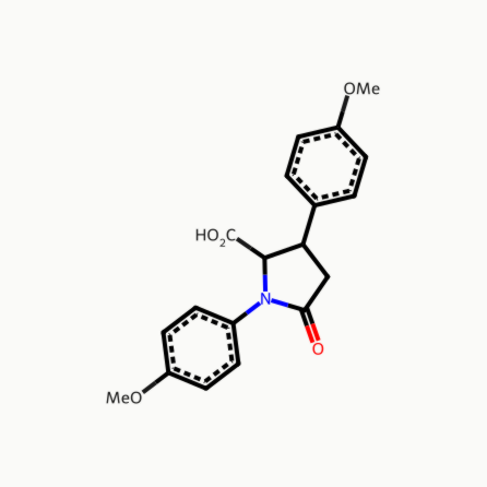 COc1ccc(C2CC(=O)N(c3ccc(OC)cc3)C2C(=O)O)cc1